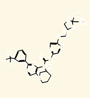 CC1(C)OC[C@H](COc2cnc(NC(=O)N3c4nc(-c5cccc(C(F)(F)F)c5)ncc4N4CCC[C@H]3C4)cn2)O1